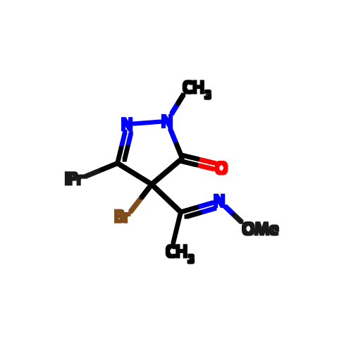 CON=C(C)C1(Br)C(=O)N(C)N=C1C(C)C